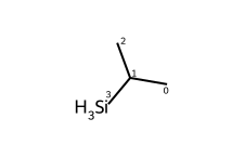 CC(C)[SiH3]